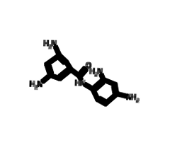 Nc1cc(N)cc(C(=O)Nc2ccc(N)cc2N)c1